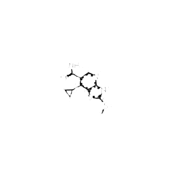 CSc1nc2ncc(C(N)=O)c(C3CC3)c2s1